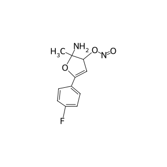 CC1(N)OC(c2ccc(F)cc2)=CC1ON=O